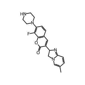 CC1=CN2CC(c3cc4ccc(N5CCNCC5)c(F)c4oc3=O)N=C2C=C1